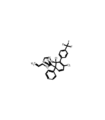 C=CCOC(=O)C1(c2ccccc2)C=CC(Cl)=C(c2ccc(C(F)(F)F)cc2)C1(Cl)n1cncn1